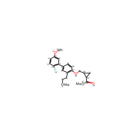 COCCc1cc(-c2cc(OC(C)C)ccc2F)ccc1OCC1CC1C(=O)OC